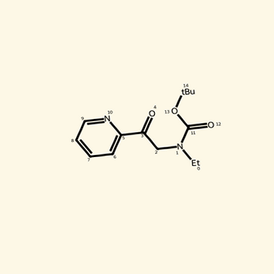 CCN(CC(=O)c1ccccn1)C(=O)OC(C)(C)C